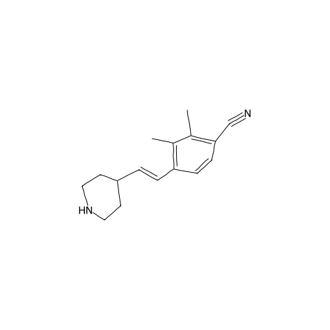 Cc1c(C#N)ccc(/C=C/C2CCNCC2)c1C